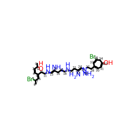 CC(O)/C=C\C(=C/C(C)Br)CCN/C=C(\N)CCCNCC/C(N)=C/N(N)CCC1=CC=C(O)CC(Br)=C1